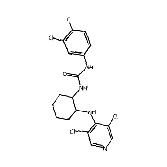 O=C(Nc1ccc(F)c(Cl)c1)NC1CCCCC1Nc1c(Cl)cncc1Cl